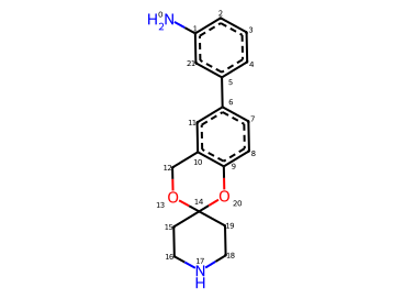 Nc1cccc(-c2ccc3c(c2)COC2(CCNCC2)O3)c1